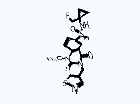 Cn1c(=O)n(Cc2cnsc2)c(=O)c2cc(S(=O)(=O)NC3(CF)CC3)ccc21